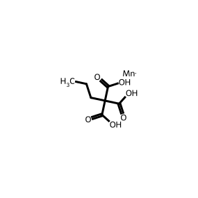 CCCC(C(=O)O)(C(=O)O)C(=O)O.[Mn]